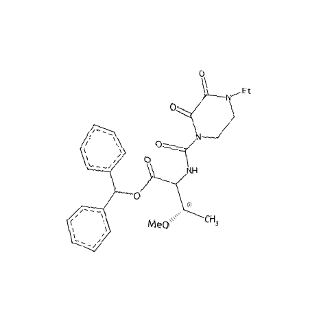 CCN1CCN(C(=O)NC(C(=O)OC(c2ccccc2)c2ccccc2)[C@H](C)OC)C(=O)C1=O